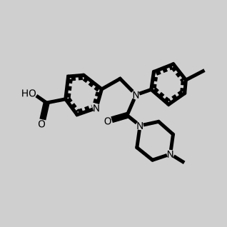 Cc1ccc(N(Cc2ccc(C(=O)O)cn2)C(=O)N2CCN(C)CC2)cc1